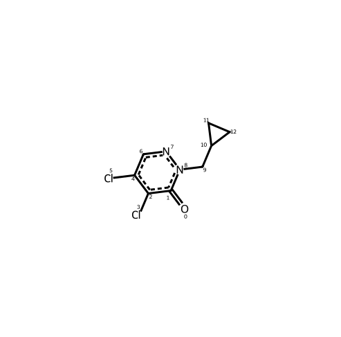 O=c1c(Cl)c(Cl)cnn1CC1CC1